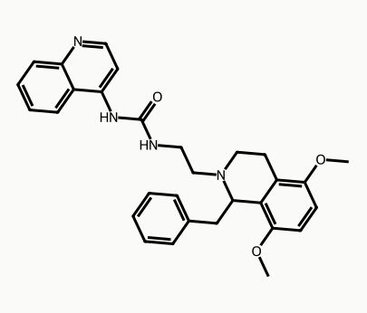 COc1ccc(OC)c2c1CCN(CCNC(=O)Nc1ccnc3ccccc13)C2Cc1ccccc1